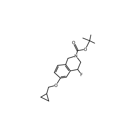 CC(C)(C)OC(=O)N1Cc2ccc(OCC3CC3)cc2C(F)C1